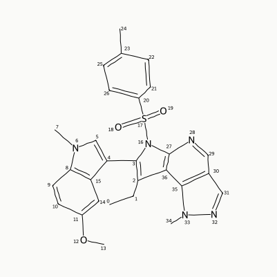 CCc1c(-c2cn(C)c3ccc(OC)cc23)n(S(=O)(=O)c2ccc(C)cc2)c2ncc3cnn(C)c3c12